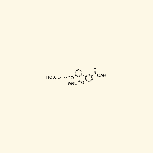 COC(=O)c1cccc(-c2cccc(OCCCCC(=O)O)c2C(=O)OC)c1